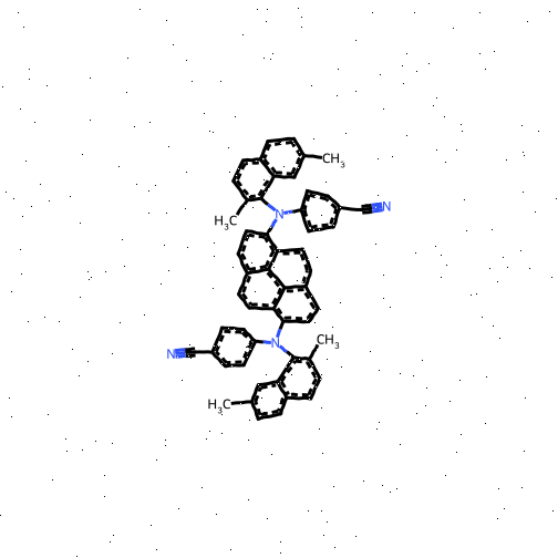 Cc1ccc2ccc(C)c(N(c3ccc(C#N)cc3)c3ccc4ccc5c(N(c6ccc(C#N)cc6)c6c(C)ccc7ccc(C)cc67)ccc6ccc3c4c65)c2c1